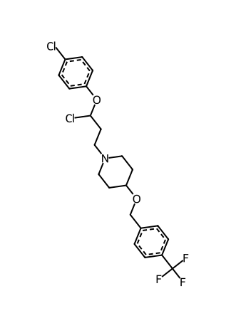 FC(F)(F)c1ccc(COC2CCN(CCC(Cl)Oc3ccc(Cl)cc3)CC2)cc1